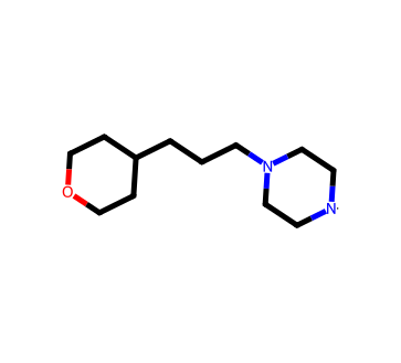 C(CC1CCOCC1)CN1CC[N]CC1